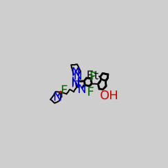 CCc1cccc2cc(O)cc(-c3c(F)cc4c(N5CC6CCC(C5)N6)nc(CCCCN5C6CCC5CC(F)C6)nc4c3F)c12